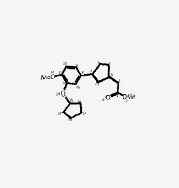 COC(=O)CC1CCC(c2ccc(OC)c(OC3CCCC3)c2)C1